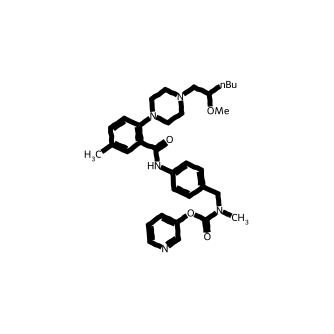 CCCCC(CN1CCN(c2ccc(C)cc2C(=O)Nc2ccc(CN(C)C(=O)Oc3cccnc3)cc2)CC1)OC